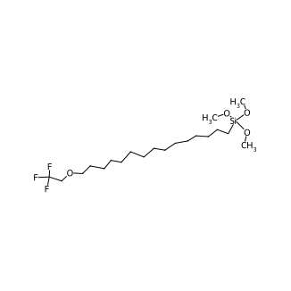 CO[Si](CCCCCCCCCCCCCCCOCC(F)(F)F)(OC)OC